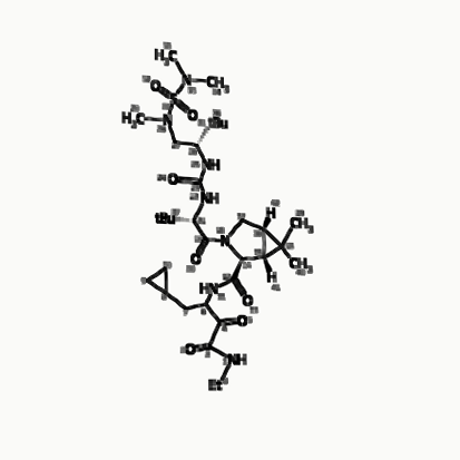 CCNC(=O)C(=O)C(CC1CC1)NC(=O)[C@@H]1[C@@H]2[C@H](CN1C(=O)[C@@H](NC(=O)N[C@H](CN(C)S(=O)(=O)N(C)C)C(C)(C)C)C(C)(C)C)C2(C)C